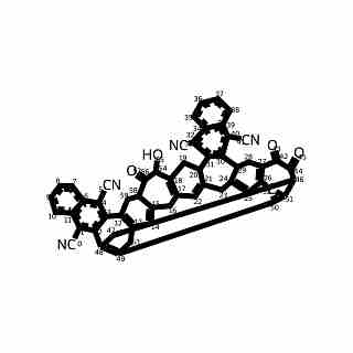 N#Cc1c2c(c(C#N)c3ccccc13)C1=C3C=C4CC5=C(CC6C(=C5)CC5=CC7=C(CC5c5c6c(C#N)c6ccccc6c5C#N)C(=O)C(=O)C5CC2=C(C=C5C7)C3)C(O)C(=O)C4C1